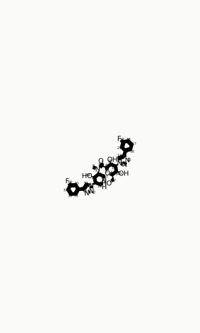 CN(C(=O)[C@@H]1O[C@H](CO)[C@H](O)[C@H](n2cc(-c3cccc(F)c3)nn2)[C@H]1O)[C@H]1CNC[C@@H](n2cc(-c3cccc(F)c3)nn2)[C@@H]1O